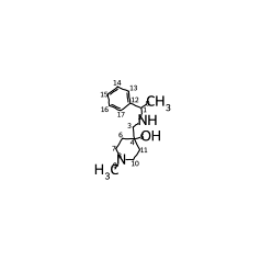 CC(NCC1(O)CCN(C)CC1)c1ccccc1